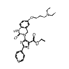 CCOC(=O)c1sc(-c2ccncc2)nc1N1Cc2cc(OCCCN(CC)CC)ccc2NC1=O